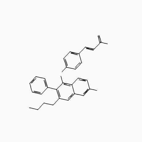 CCCCc1cc2cc(O)ccc2c(Oc2ccc(C=CC(=O)O)cc2)c1-c1ccccc1